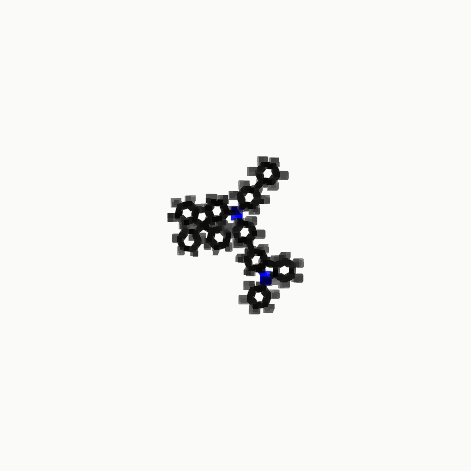 C1=CC2=C(CC1)c1ccccc1C21c2ccccc2-c2ccc(N(c3ccc(-c4ccccc4)cc3)c3ccc(-c4ccc5c(c4)c4ccccc4n5-c4ccccc4)cc3)cc21